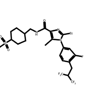 CCc1nc(C(=O)NCC2CCC(S(C)(=O)=O)CC2)c(C)n1-c1ccc(CC(C(F)(F)F)C(F)(F)F)c(F)c1